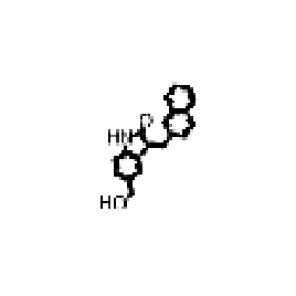 O=C1Nc2ccc(CO)cc2C1=Cc1ccc2ccccc2c1